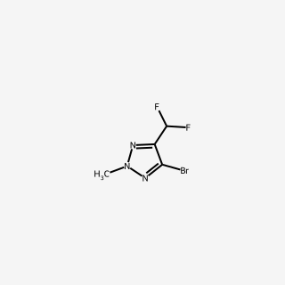 Cn1nc(Br)c(C(F)F)n1